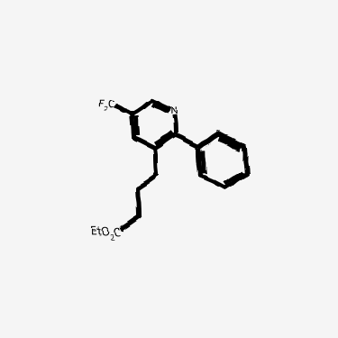 CCOC(=O)CCCc1cc(C(F)(F)F)cnc1-c1ccccc1